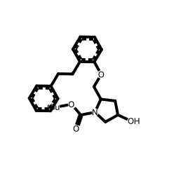 CC(C)(C)OC(=O)N1CC(O)CC1COc1ccccc1CCc1ccccc1